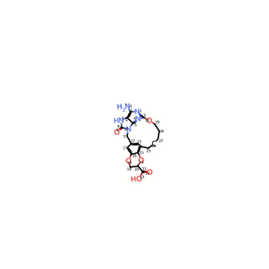 Nc1nc2nc3c1[nH]c(=O)n3Cc1cc(c3c(c1)OCC(C(=O)O)O3)CCCCCO2